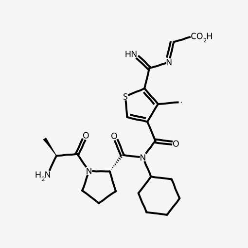 [CH2]c1c(C(=O)N(C(=O)[C@@H]2CCCN2C(=O)[C@H](C)N)C2CCCCC2)csc1C(=N)N=CC(=O)O